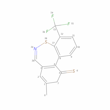 CC1=CC2=C(C(=S)C1)c1cccc(C(F)(F)F)c1SN=C2